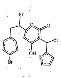 CCC(Cc1ccc(Br)cc1)c1cc(O)c(C(CC)c2cccs2)c(=O)o1